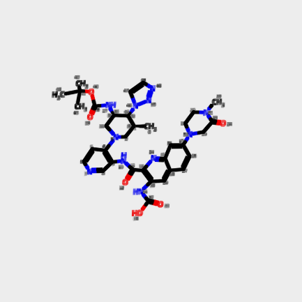 C[C@H]1CN(c2ccncc2NC(=O)c2nc3cc(N4CCN(C)C(=O)C4)ccc3cc2NC(=O)O)C[C@@H](NC(=O)OC(C)(C)C)[C@H]1n1ccnn1